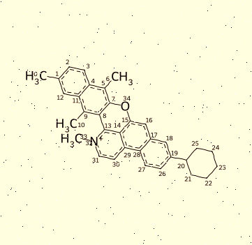 Cc1ccc2c(C)c3c(c(C)c2c1)-c1c2c(cc4cc(C5CCCCC5)ccc4c2cc[n+]1C)O3